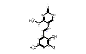 COc1nc(=O)[nH]cc1/N=C/c1cc(C)cc(Cl)c1O